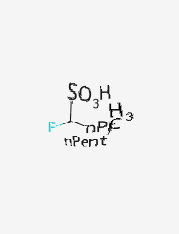 CCCC(F)S(=O)(=O)O.CCCCCC